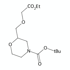 CCOC(=O)COCC1CN(C(=O)OC(C)(C)C)CCO1